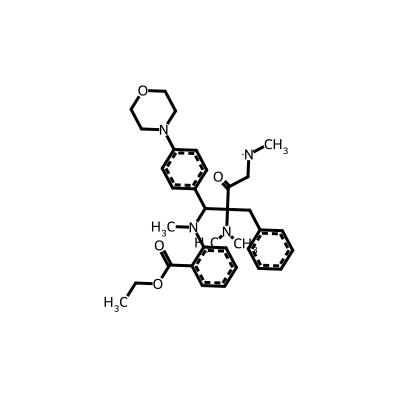 CCOC(=O)c1ccccc1N(C)C(c1ccc(N2CCOCC2)cc1)C(Cc1ccccc1)(C(=O)C[N]C)N(C)C